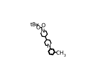 Cc1cccc(N2CCC(C3CCN(C(=O)OC(C)(C)C)CC3)CC2)c1